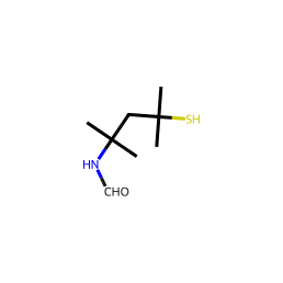 CC(C)(S)CC(C)(C)NC=O